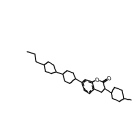 CCCC1CCC(C2CCC(c3ccc4c(c3)OC(=O)C(C3CCC(C)CC3)C4)CC2)CC1